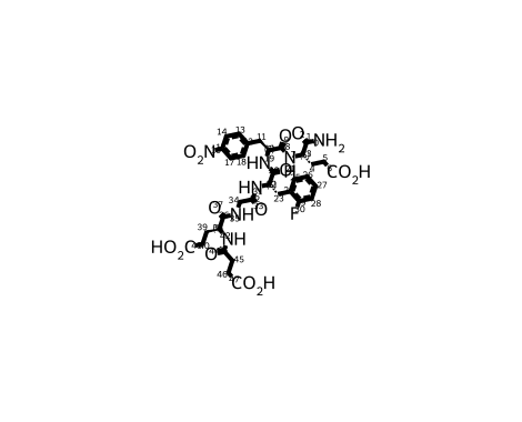 NC(=O)[C@H](CCC(=O)O)NC(=O)[C@H](Cc1ccc([N+](=O)[O-])cc1)NC(=O)[C@H](Cc1ccccc1F)NC(=O)CNC(=O)[C@H](CCC(=O)O)NC(=O)CCC(=O)O